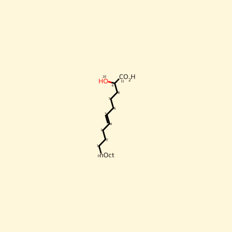 CCCCCCCCCCCC=CCCCC(O)C(=O)O